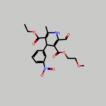 CCOC(=O)C1=C(C)NC(C=O)=C(C(=O)OCCOC)C1c1cccc([N+](=O)[O-])c1